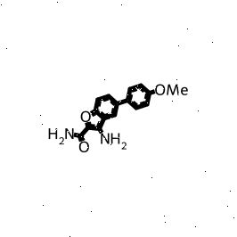 COc1ccc(-c2ccc3oc(C(N)=O)c(N)c3c2)cc1